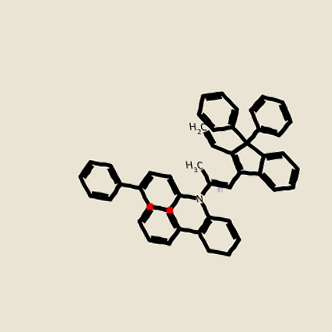 C=CC1=C(/C=C(\C)N(C2=CC=C(c3ccccc3)CC2)C2=C(c3ccccc3)CCC=C2)c2ccccc2C1(c1ccccc1)c1ccccc1